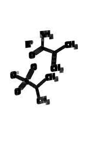 C=C(C)C(N)=O.CC(C)S(=O)(=O)[O-].[K+]